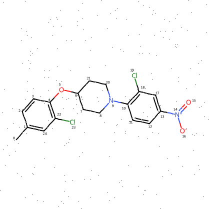 Cc1ccc(OC2CCN(c3ccc([N+](=O)[O-])cc3Cl)CC2)c(Cl)c1